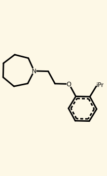 CC(C)c1ccccc1OCCN1CCCCCC1